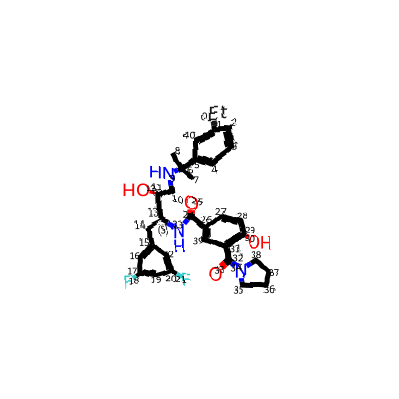 CCc1cccc(C(C)(C)NC[C@H](O)[C@H](Cc2cc(F)cc(F)c2)NC(=O)c2ccc(O)c(C(=O)N3CCCC3)c2)c1